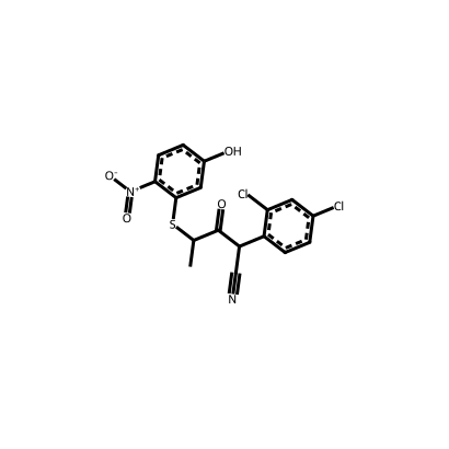 CC(Sc1cc(O)ccc1[N+](=O)[O-])C(=O)C(C#N)c1ccc(Cl)cc1Cl